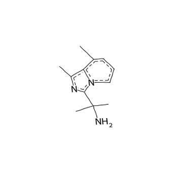 Cc1cccn2c(C(C)(C)N)nc(C)c12